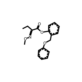 CCC(=NOC)C(=O)Oc1ccccc1COc1ccccc1